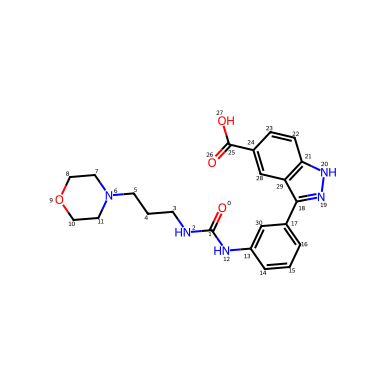 O=C(NCCCN1CCOCC1)Nc1cccc(-c2n[nH]c3ccc(C(=O)O)cc23)c1